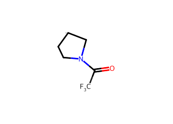 O=C(N1C[CH]CC1)C(F)(F)F